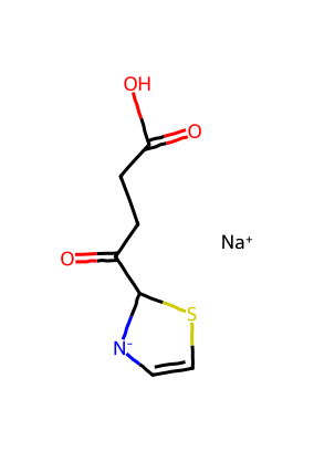 O=C(O)CCC(=O)C1[N-]C=CS1.[Na+]